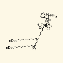 CCCCCCCCCCCCCCCCCCCN(CC)CCCN(CCCCCCCCCCCCCCCCCCC)CCCCCC(=O)OC(C)(C)Cn1c(CNCC)nc2c(N)nc3ccccc3c21